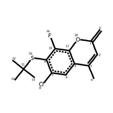 C=C1C=C(C)c2cc(Cl)c(SC(C)(C)C)c(F)c2O1